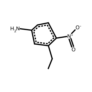 CCc1cc(N)ccc1[N+](=O)[O-]